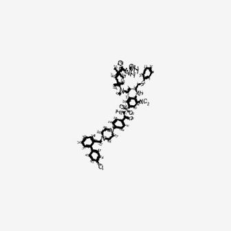 CN(CC[C@H](CSc1ccccc1)Nc1ccc(S(=O)(=O)NC(=O)c2ccc(N3CCN(Cc4ccccc4-c4ccc(Cl)cc4)CC3)cc2)cc1[N+](=O)[O-])C(C)(C)CC(C)(C)C(=O)NO